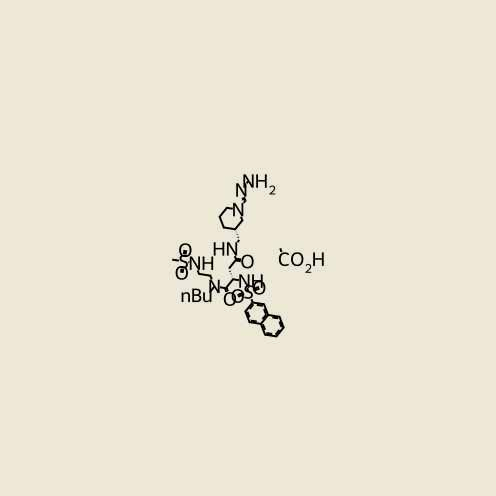 CC(=O)O.CCCCN(CCNS(C)(=O)=O)C(=O)[C@H](CC(=O)NC[C@@H]1CCCN(C=NN)C1)NS(=O)(=O)c1ccc2ccccc2c1